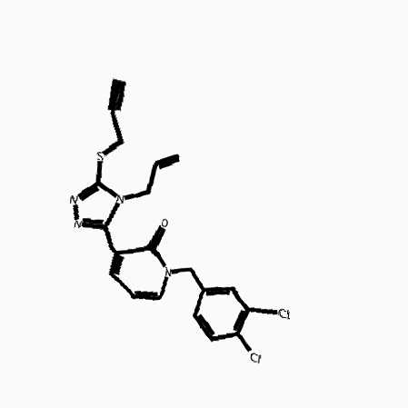 C#CCSc1nnc(-c2cccn(Cc3ccc(Cl)c(Cl)c3)c2=O)n1CC=C